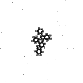 c1ccc(-c2sc(-c3ccc4c(sc5ccccc54)c3-c3ccccc3)c3ccccc23)cc1